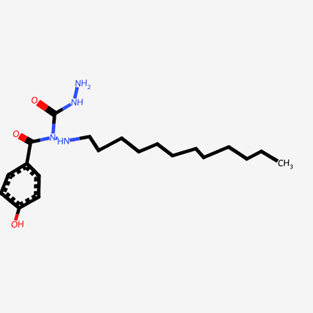 CCCCCCCCCCCCNN(C(=O)NN)C(=O)c1ccc(O)cc1